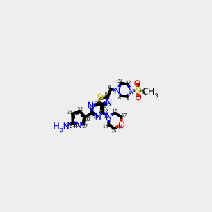 CS(=O)(=O)N1CCN(Cc2nc3c(N4CCOCC4)nc(-c4ccc(N)nc4)nc3s2)CC1